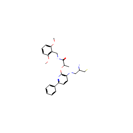 COc1cccc(OC)c1CNC(=O)C(C)Oc1nc(-c2ccccc2)ccc1NCC(N)CS